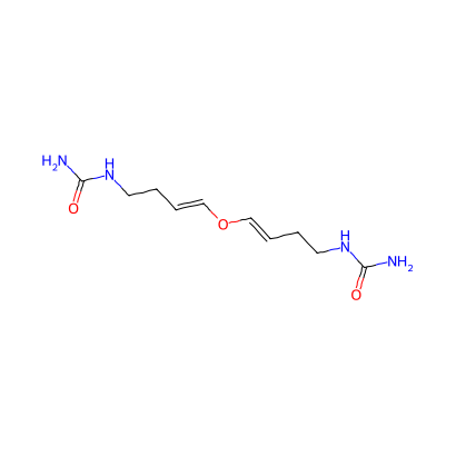 NC(=O)NCCC=COC=CCCNC(N)=O